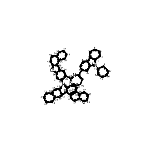 C1=C(c2ccc3c4ccccc4n(-c4ccccc4)c3c2)N=C(c2cc3c(cc2-n2c4ccccc4c4cc5ccccc5cc42)oc2ccc4ccccc4c23)N=C(c2cccc3ccccc23)C1